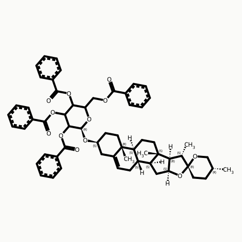 C[C@@H]1CC[C@@]2(OC1)O[C@H]1C[C@H]3[C@@H]4CC=C5C[C@@H](O[C@@H]6OC(COC(=O)c7ccccc7)C(OC(=O)c7ccccc7)C(OC(=O)c7ccccc7)C6OC(=O)c6ccccc6)CC[C@]5(C)[C@H]4CC[C@]3(C)[C@H]1[C@@H]2C